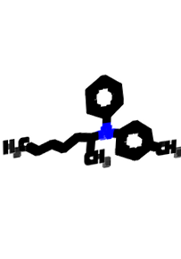 CCCCCC(C)N(c1ccccc1)c1ccc(C)cc1